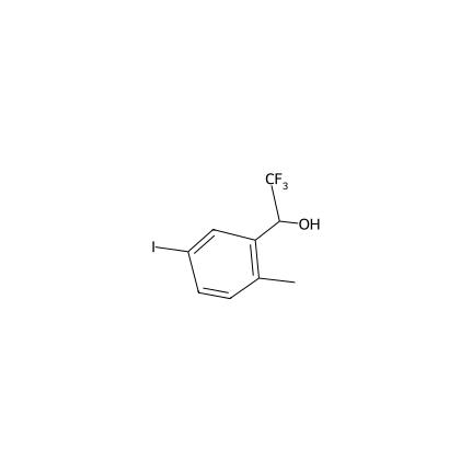 Cc1ccc(I)cc1C(O)C(F)(F)F